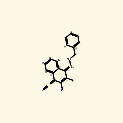 C=C=C1C(C)=C(C)/C(=N/OCc2ccccc2)c2ccccc21